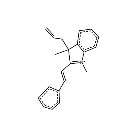 C=CCC1(C)C(/C=C/c2ccccc2)=[N+](C)c2ccccc21